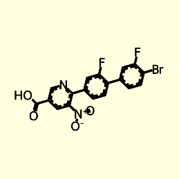 O=C(O)c1cnc(-c2ccc(-c3ccc(Br)c(F)c3)c(F)c2)c([N+](=O)[O-])c1